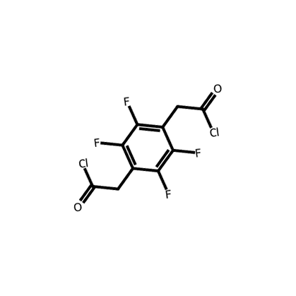 O=C(Cl)Cc1c(F)c(F)c(CC(=O)Cl)c(F)c1F